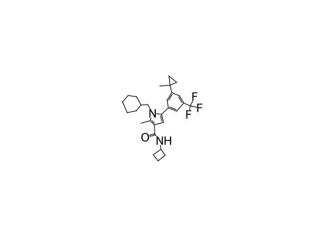 Cc1c(C(=O)NC2CCC2)cc(-c2cc(C(F)(F)F)cc(C3(C)CC3)c2)n1CC1CCCCC1